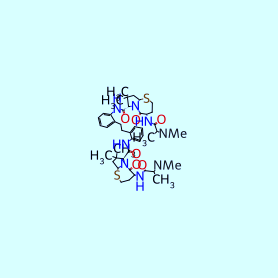 CN[C@@H](C)C(=O)N[C@H]1CCSC2CC(C)(C)[C@@H](C(=O)Nc3ccccc3CCc3ccccc3NC(=O)[C@H]3N4C(=O)[C@@H](NC(=O)[C@H](C)NC)CCSC4CC3(C)C)N2C1=O